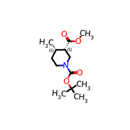 COC(=O)[C@@H]1CN(C(=O)OC(C)(C)C)CC[C@@H]1C